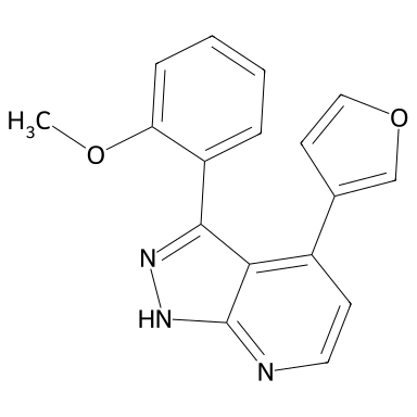 COc1ccccc1-c1n[nH]c2nccc(-c3ccoc3)c12